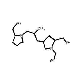 CC(C)CC1CCCN1CC(C)CC1CC(CC(C)C)N(CC(C)C)C1